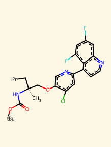 CC(C)C[C@@](C)(COc1cnc(-c2ccnc3cc(F)cc(F)c23)cc1Cl)NC(=O)OC(C)(C)C